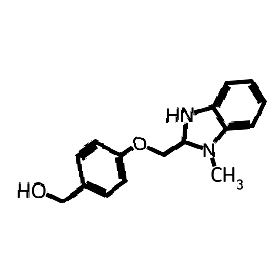 CN1c2ccccc2NC1COc1ccc(CO)cc1